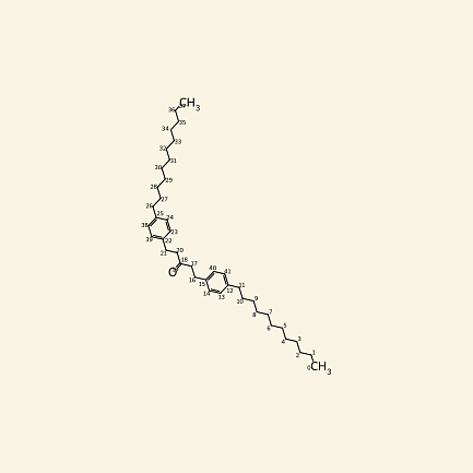 CCCCCCCCCCCCc1ccc(CCC(=O)CCc2ccc(CCCCCCCCCCCC)cc2)cc1